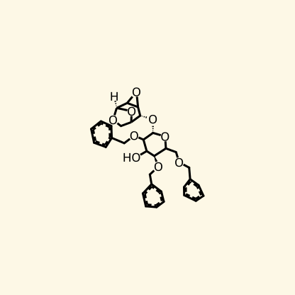 OC1C(OCc2ccccc2)[C@H](O[C@@H]2C3CO[C@H](O3)C3OC32)OC(COCc2ccccc2)[C@H]1OCc1ccccc1